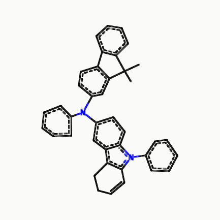 CC1(C)c2ccccc2-c2ccc(N(c3ccccc3)c3ccc4c(c3)c3c(n4-c4ccccc4)C=CCC3)cc21